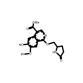 COC(=O)c1cnc(OCC2CCC(=O)N2)c2cc(OC(C)C)c(C#N)cc12